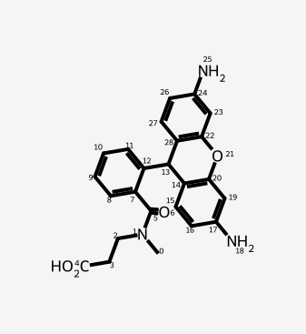 CN(CCC(=O)O)C(=O)c1ccccc1C1c2ccc(N)cc2Oc2cc(N)ccc21